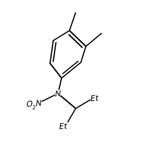 CCC(CC)N(c1ccc(C)c(C)c1)[N+](=O)[O-]